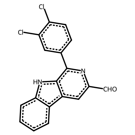 O=Cc1cc2c([nH]c3ccccc32)c(-c2ccc(Cl)c(Cl)c2)n1